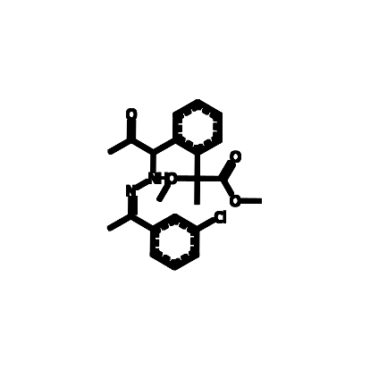 COC(=O)C(C)(OC)c1ccccc1C(N/N=C(/C)c1cccc(Cl)c1)C(C)=O